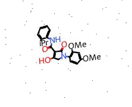 COc1ccc(N2CC(O)=C(C(=O)Nc3ccccc3C(C)C)C2=O)c(OC)c1